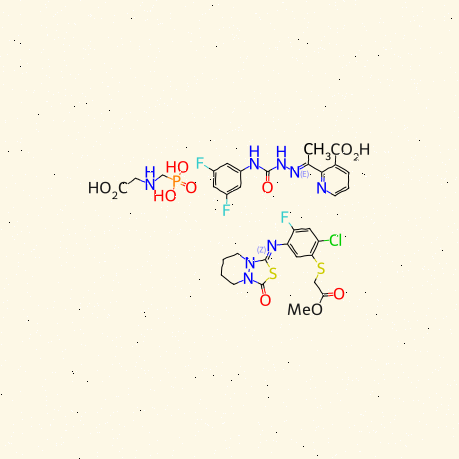 C/C(=N\NC(=O)Nc1cc(F)cc(F)c1)c1ncccc1C(=O)O.COC(=O)CSc1cc(/N=c2\sc(=O)n3n2CCCC3)c(F)cc1Cl.O=C(O)CNCP(=O)(O)O